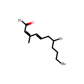 CCC(=O)C=C(C)C=CCC(CC)CCCC(C)CC